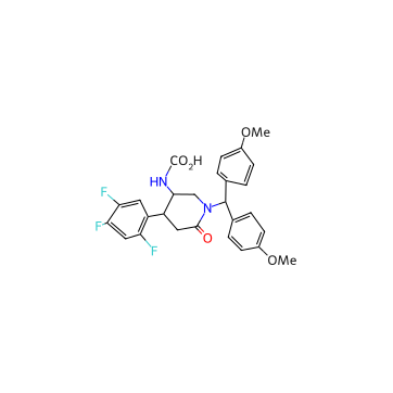 COc1ccc(C(c2ccc(OC)cc2)N2CC(NC(=O)O)C(c3cc(F)c(F)cc3F)CC2=O)cc1